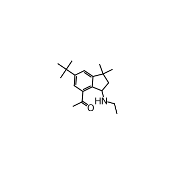 CCNC1CC(C)(C)c2cc(C(C)(C)C)cc(C(C)=O)c21